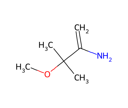 C=C(N)C(C)(C)OC